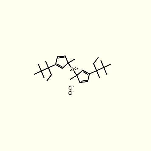 CCC(C)(C1=C[C](C)([Zr+2][C]2(C)C=CC(C(C)(CC)C(C)(C)C)=C2)C=C1)C(C)(C)C.[Cl-].[Cl-]